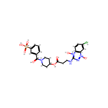 O=C(CCNc1n[n+]([O-])c2cc(Br)ccc2[n+]1[O-])OC1CCN(C(=O)c2cccc(S(=O)(=O)O)c2)CC1